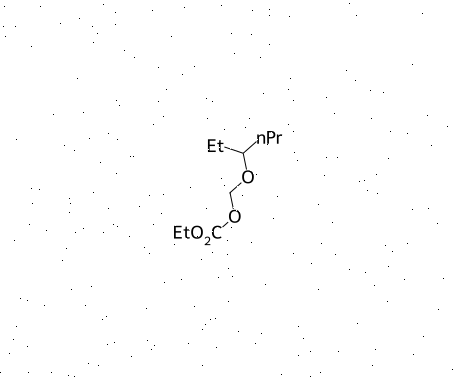 CCCC(CC)OCOC(=O)OCC